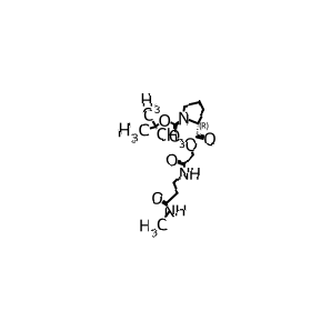 CNC(=O)CCNC(=O)COC(=O)[C@H]1CCCN1C(=O)OC(C)(C)C